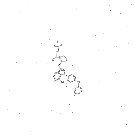 Nc1ncnc2c1c(-c1ccc(Oc3ccccc3)cc1)nn2C[C@@H]1CCCN1C(=O)/C=C/C(F)(F)F